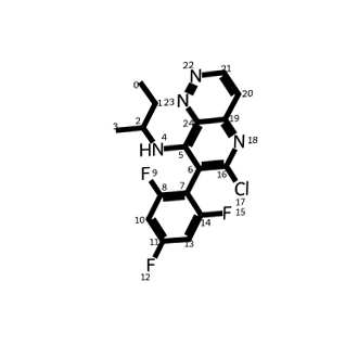 CCC(C)Nc1c(-c2c(F)cc(F)cc2F)c(Cl)nc2ccnnc12